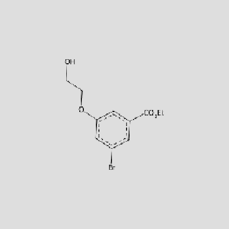 CCOC(=O)c1cc(Br)cc(OCCO)c1